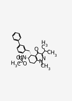 CC(C)c1nn(C)c2c(c1=O)[C@@H](Cc1cccc(-c3ccccc3)c1)[C@@H](NS(C)(=O)=O)CC2